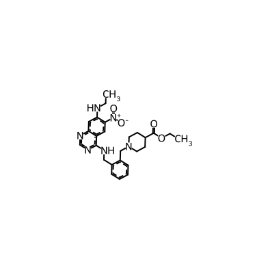 CCNc1cc2ncnc(NCc3ccccc3CN3CCC(C(=O)OCC)CC3)c2cc1[N+](=O)[O-]